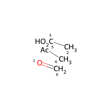 C=O.CC(=O)O.CC(C)=O